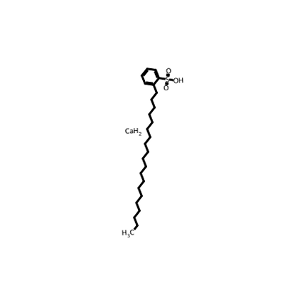 CCCCCCCCCCCCCCCCCCCCc1ccccc1S(=O)(=O)O.[CaH2]